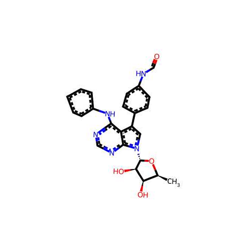 C[C@@H]1O[C@@H](n2cc(-c3ccc(NC=O)cc3)c3c(Nc4ccccc4)ncnc32)[C@H](O)[C@@H]1O